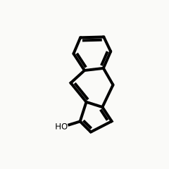 OC1=CC=C2Cc3ccccc3C=C12